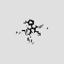 CCOC(=O)C1=C(C(=O)OCC)C(c2cccc(Cl)c2)C(C(=O)OCC)=C(CCl)N1